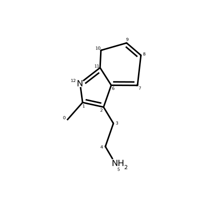 CC1=C(CCN)C2=CC=CCC2=N1